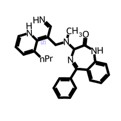 CCCC1=CC=CN/C1=C(\C=N)CN(C)C1N=C(c2ccccc2)c2ccccc2NC1=O